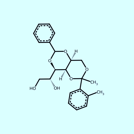 Cc1ccccc1C1(C)OC[C@@H]2OC(c3ccccc3)O[C@H]([C@H](O)CO)[C@@H]2O1